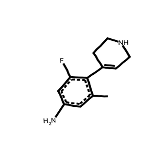 Cc1cc(N)cc(F)c1C1=CCNCC1